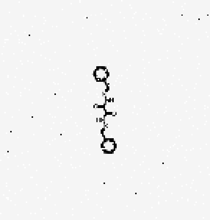 O=C(NN=Cc1ccccc1)C(=O)NN=Cc1ccccc1